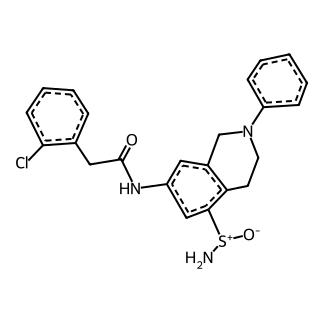 N[S+]([O-])c1cc(NC(=O)Cc2ccccc2Cl)cc2c1CCN(c1ccccc1)C2